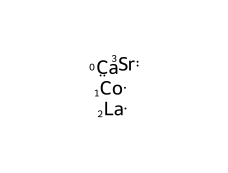 [Ca].[Co].[La].[Sr]